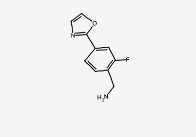 NCc1ccc(-c2ncco2)cc1F